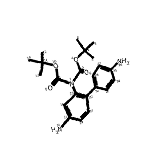 CC(C)(C)OC(=O)N(C(=O)OC(C)(C)C)c1cc(N)ccc1-c1ccc(N)cc1